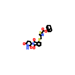 O=C1CCC(N2C(=O)c3cccc(SCc4csc(C(=O)OC56CC7CC(CC(C7)C5)C6)n4)c3C2=O)C(=O)N1